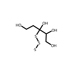 OCCC(O)(SS[S])C(O)CO